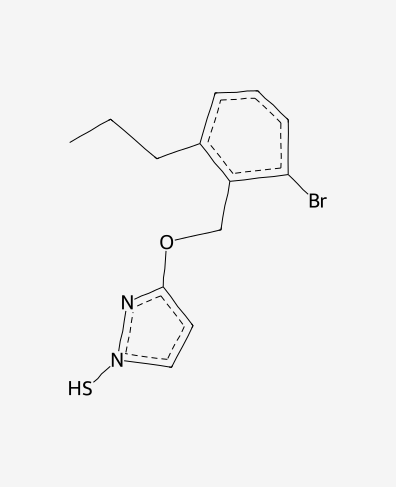 CCCc1cccc(Br)c1COc1ccn(S)n1